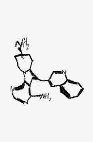 Nc1ncnc2c1c(-c1cnc3ccccc3c1)c1n2CC[C@@H](N)CC1